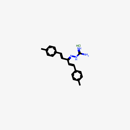 Cc1ccc(/C=C/C(/C=C/c2ccc(C)cc2)=NNC(=N)N)cc1.Cl